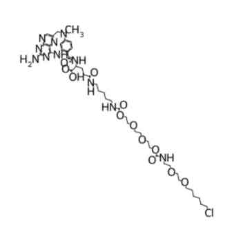 CN(Cc1cnc2nc(N)nc(N)c2n1)c1ccc(C(=O)NC(CCC(=O)NCCCCCNC(=O)OCCOCCOCCOC(=O)NCCOCCOCCCCCCCl)C(=O)O)cc1